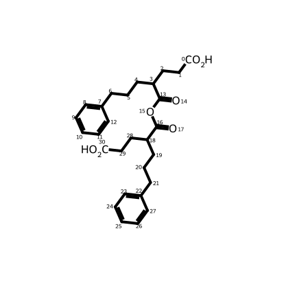 O=C(O)CCC(CCCc1ccccc1)C(=O)OC(=O)C(CCCc1ccccc1)CCC(=O)O